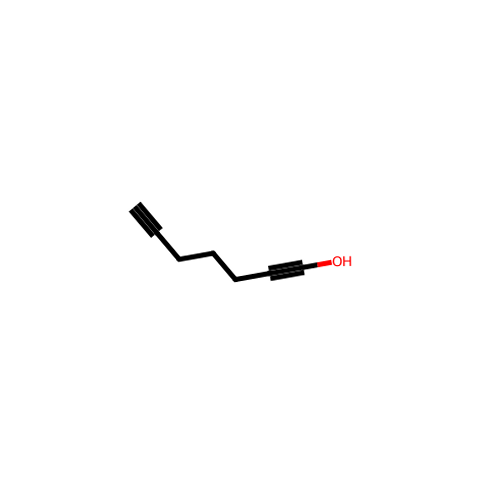 C#CCCCC#CO